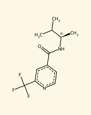 CC(C)[C@@H](C)NC(=O)c1ccnc(C(F)(F)F)c1